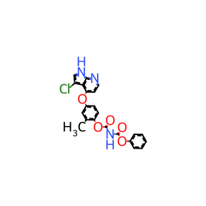 Cc1cc(Oc2ccnc3[nH]cc(Cl)c23)ccc1OC(=O)NC(=O)Oc1ccccc1